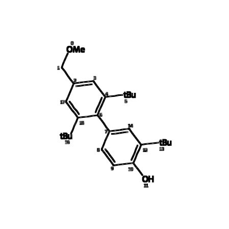 COCc1cc(C(C)(C)C)c(-c2ccc(O)c(C(C)(C)C)c2)c(C(C)(C)C)c1